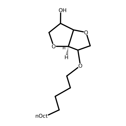 CCCCCCCCCCCCOC1COC2C(O)CO[C@H]12